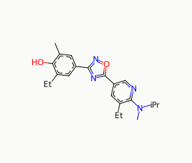 CCc1cc(-c2nc(-c3cc(C)c(O)c(CC)c3)no2)cnc1N(C)C(C)C